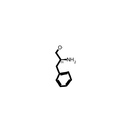 N[C@H](C[O])Cc1ccccc1